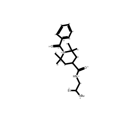 CCCCC(CC)CNC(=O)C1CC(C)(C)N(C(=O)c2ccccc2)C(C)(C)C1